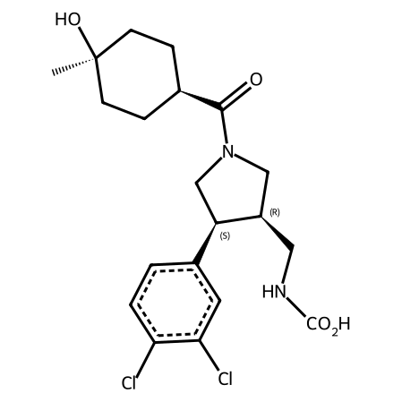 C[C@]1(O)CC[C@@H](C(=O)N2C[C@@H](CNC(=O)O)[C@@H](c3ccc(Cl)c(Cl)c3)C2)CC1